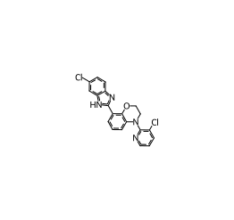 Clc1ccc2nc(-c3cccc4c3OCCN4c3ncccc3Cl)[nH]c2c1